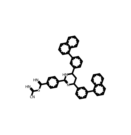 N#CC(=N)SC(=N)c1ccc(C2=NC(c3cccc(-c4cccc5ccccc45)c3)CC(c3cccc(-c4cccc5ccccc45)c3)N2)cc1